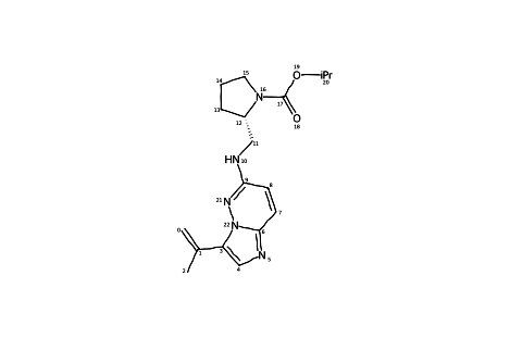 C=C(C)c1cnc2ccc(NC[C@@H]3CCCN3C(=O)OC(C)C)nn12